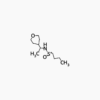 CCCC[S+]([O-])NC(C)C1CCOCC1